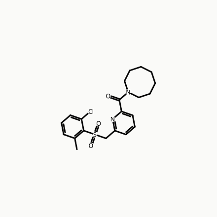 Cc1cccc(Cl)c1S(=O)(=O)Cc1cccc(C(=O)N2CCCCCCC2)n1